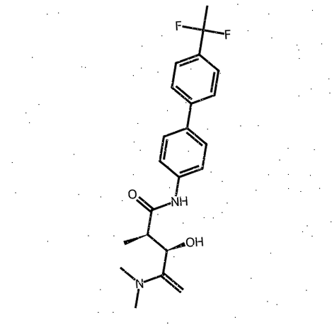 C=C([C@H](O)[C@@H](C)C(=O)Nc1ccc(-c2ccc(C(C)(F)F)cc2)cc1)N(C)C